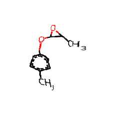 Cc1ccc(OC2OC2C)cc1